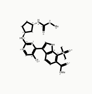 COC(=O)c1ccc2c(-c3nc(N[C@H]4CC[C@H](NC(=O)OC(C)(C)C)C4)ncc3C(F)(F)F)c[nH]c2c1P(C)(C)=O